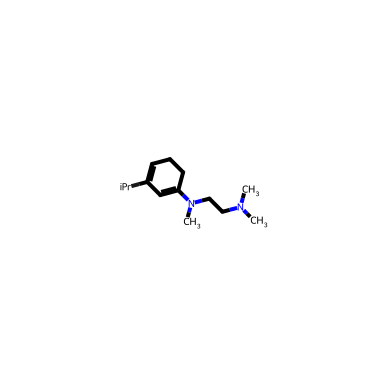 CC(C)C1=CCCC(N(C)CCN(C)C)=C1